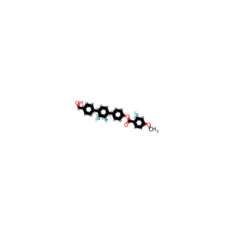 COc1ccc(C(=O)Oc2ccc(-c3ccc(-c4ccc(CO)cc4)c(F)c3F)cc2)c(F)c1